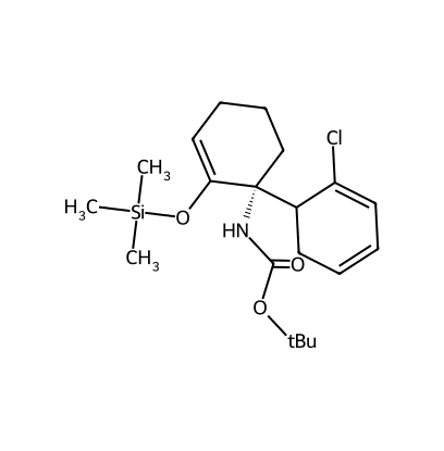 CC(C)(C)OC(=O)N[C@@]1(C2CC=CC=C2Cl)CCCC=C1O[Si](C)(C)C